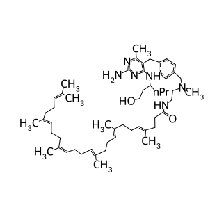 CCCC(CCO)Nc1nc(N)nc(C)c1Cc1ccc(CN(C)CCNC(=O)CCC(C)=CCCC(C)=CCCC(C)=CCCC=C(C)CC/C=C(\C)CCC=C(C)C)cc1